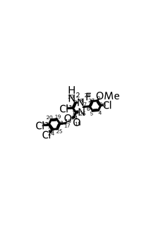 COc1c(Cl)ccc(-c2nc(N)c(Cl)c(C(=O)OCc3ccc(Cl)c(Cl)c3)n2)c1F